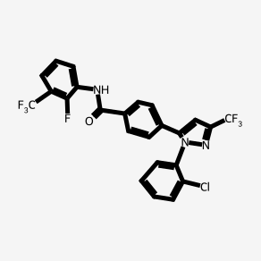 O=C(Nc1cccc(C(F)(F)F)c1F)c1ccc(-c2cc(C(F)(F)F)nn2-c2ccccc2Cl)cc1